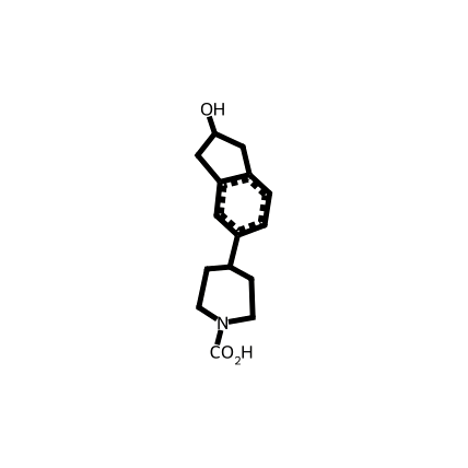 O=C(O)N1CCC(c2ccc3c(c2)CC(O)C3)CC1